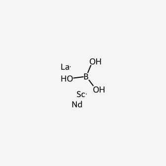 OB(O)O.[La].[Nd].[Sc]